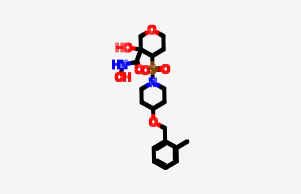 Cc1ccccc1COC1CCN(S(=O)(=O)C2CCOCC2(O)C(=O)NO)CC1